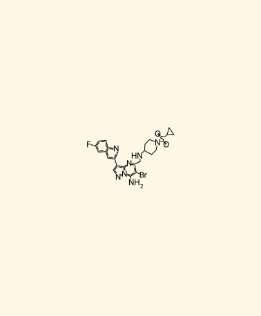 Nc1c(Br)c(CNC2CCN(S(=O)(=O)C3CC3)CC2)nc2c(-c3cnc4ccc(F)cc4c3)cnn12